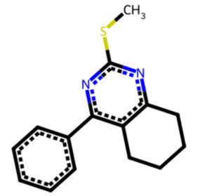 CSc1nc2c(c(-c3ccccc3)n1)CCCC2